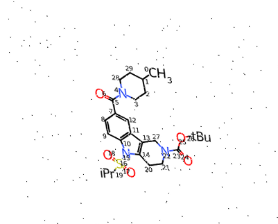 CC1CCN(C(=O)c2ccc3c(c2)c2c(n3S(=O)(=O)C(C)C)CCN(C(=O)OC(C)(C)C)C2)CC1